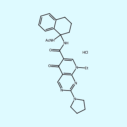 CCn1cc(C(=O)NC2(NC(C)=O)CCCc3ccccc32)c(=O)c2cnc(N3CCCC3)nc21.Cl